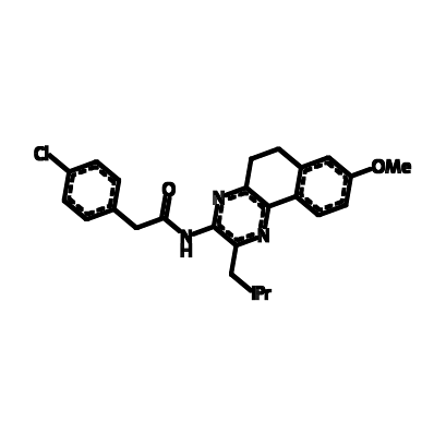 COc1ccc2c(c1)CCc1nc(NC(=O)Cc3ccc(Cl)cc3)c(CC(C)C)nc1-2